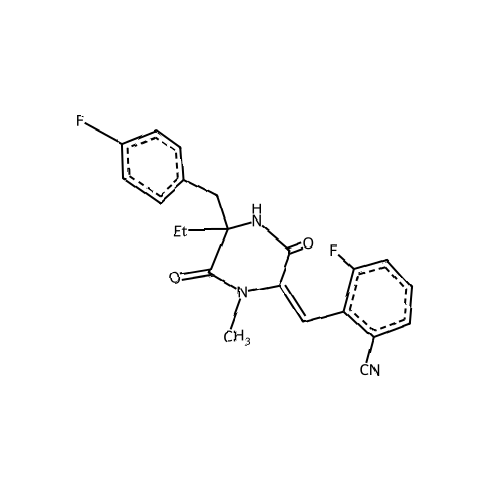 CCC1(Cc2ccc(F)cc2)NC(=O)C(=Cc2c(F)cccc2C#N)N(C)C1=O